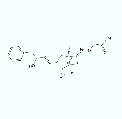 O=C(O)CON=C1C[C@H]2C(O)C(C=CC(O)Cc3ccccc3)C[C@H]12